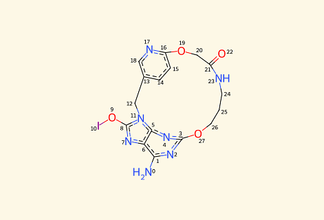 Nc1nc2nc3c1nc(OI)n3Cc1ccc(nc1)OCC(=O)NCCCO2